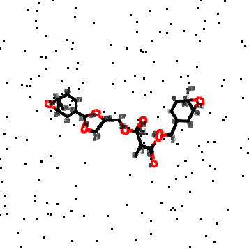 CC(C(=O)OCC1CC[C@@]2(C)OC2C1)C(=O)OCC1COC(C2CCC3(C)OC3C2)O1